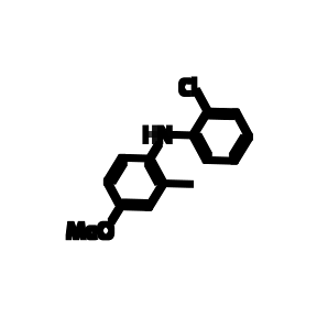 COc1ccc(Nc2ccccc2Cl)c(C)c1